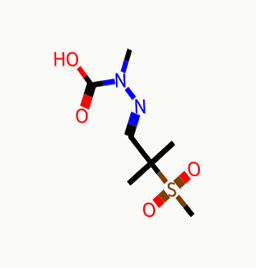 CN(/N=C/C(C)(C)S(C)(=O)=O)C(=O)O